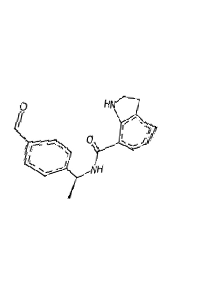 C[C@H](NC(=O)c1cccc2c1NCC2)c1ccc(C=O)cc1